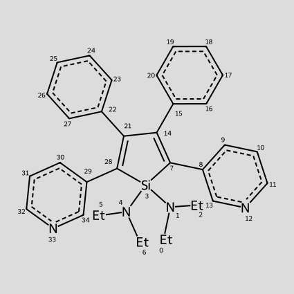 CCN(CC)[Si]1(N(CC)CC)C(c2cccnc2)=C(c2ccccc2)C(c2ccccc2)=C1c1cccnc1